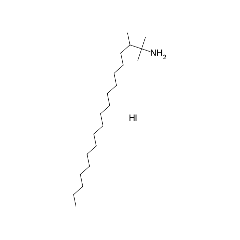 CCCCCCCCCCCCCCCCC(C)C(C)(C)N.I